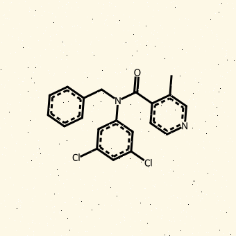 Cc1cnccc1C(=O)N(Cc1ccccc1)c1cc(Cl)cc(Cl)c1